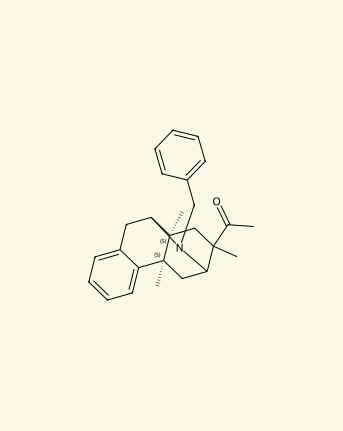 CC(=O)C1(C)C[C@]2(C)C3Cc4ccccc4[C@]2(C)CC1N3Cc1ccccc1